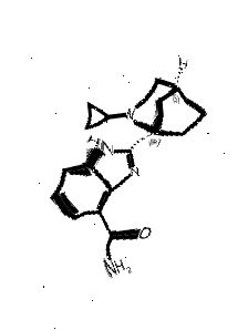 NC(=O)c1cccc2[nH]c([C@]34CC[C@H](CN3C3CC3)C4)nc12